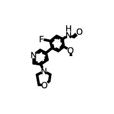 COc1cc(-c2cncc(N3CCOCC3)c2)c(F)cc1NC=O